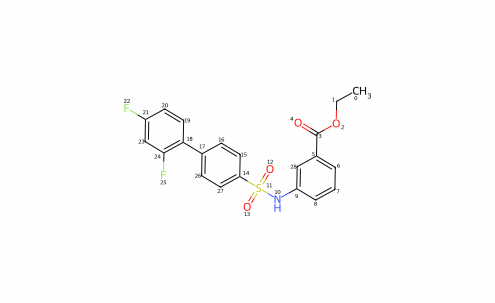 CCOC(=O)c1cccc(NS(=O)(=O)c2ccc(-c3ccc(F)cc3F)cc2)c1